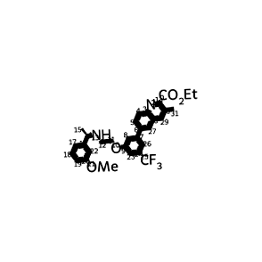 CCOC(=O)c1nc2ccc(-c3cc(OCCN[C@H](C)c4cccc(OC)c4)cc(C(F)(F)F)c3)cc2cc1C